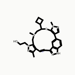 Cc1nn(CCO)c2c1/C=C/c1n[nH]c3ccc(cc13)-c1cnn(C)c1OC(C1CCC1)CN(C)C2